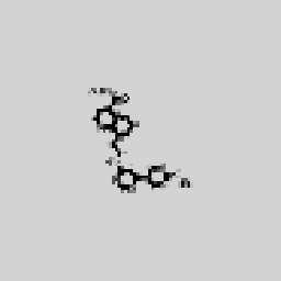 CCOc1ncc(-c2cc(NCCc3cccc4c(C(=O)NC)ccnc34)ncn2)cn1